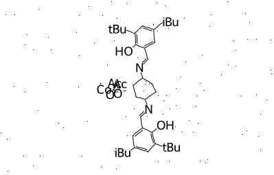 CC(=O)[O-].CC(=O)[O-].CCC(C)c1cc(C=NC2CCC(N=Cc3cc(C(C)CC)cc(C(C)(C)C)c3O)CC2)c(O)c(C(C)(C)C)c1.[Co+2]